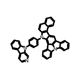 c1ccc2c(c1)ccc1c2c2cc3c4ccccc4n4c5ccccc5c(c2n1-c1ccc(-n2c5ccccc5c5ccncc52)cc1)c34